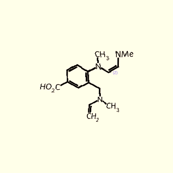 C=CN(C)Cc1cc(C(=O)O)ccc1N(C)/C=C\NC